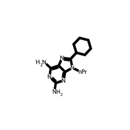 CCCn1c(C2CCCCC2)nc2c(N)nc(N)nc21